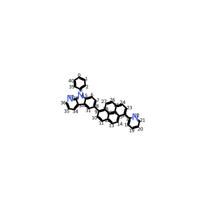 c1ccc(-n2c3ccc(-c4ccc5ccc6c(-c7ccccn7)ccc7ccc4c5c76)cc3c3cccnc32)cc1